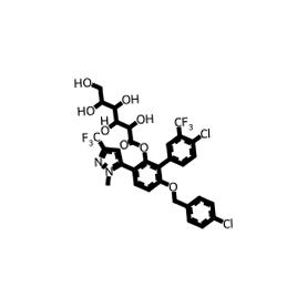 Cn1nc(C(F)(F)F)cc1-c1ccc(OCc2ccc(Cl)cc2)c(-c2ccc(Cl)c(C(F)(F)F)c2)c1OC(=O)C(O)C(O)C(O)C(O)CO